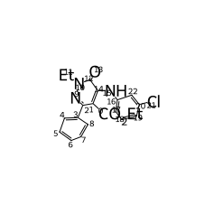 CCOC(=O)c1c(-c2ccccc2)nn(CC)c(=O)c1Nc1cccc(Cl)c1